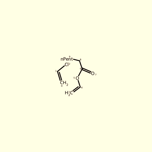 C=CCl.C=COC(=O)CCCCCC